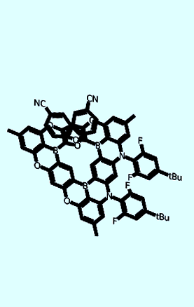 Cc1cc2c3c(c1)Oc1c(oc4ccc(C#N)cc14)B3c1cc3c(cc1O2)Oc1cc(C)cc2c1B3c1cc3c(cc1N2c1c(F)cc(C(C)(C)C)cc1F)N(c1c(F)cc(C(C)(C)C)cc1F)c1cc(C)cc2c1B3c1oc3ccc(C#N)cc3c1O2